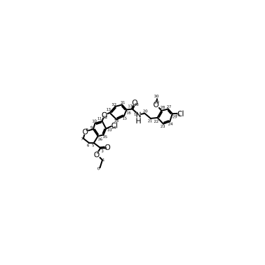 CCOC(=O)C1CCOc2cc(Oc3ccc(C(=O)NCCc4ccc(Cl)cc4OC)cc3)c(Cl)cc21